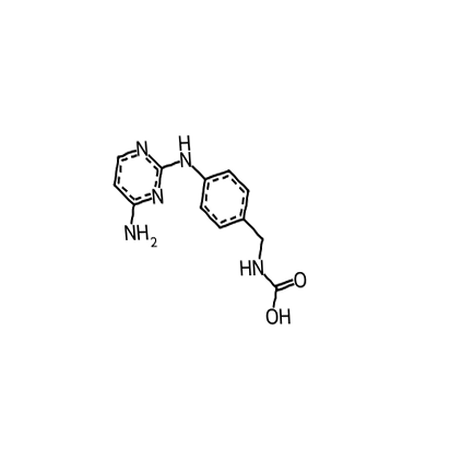 Nc1ccnc(Nc2ccc(CNC(=O)O)cc2)n1